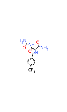 NC(=O)Nc1oc(-c2ccc(C(F)(F)F)cc2)nc1C(N)=O